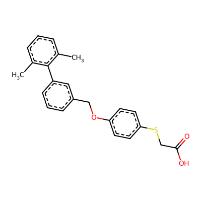 Cc1cccc(C)c1-c1cccc(COc2ccc(SCC(=O)O)cc2)c1